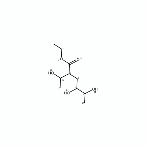 CCOC(=O)C(CC(O)C(C)O)C(C)O